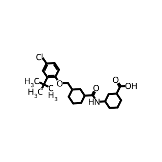 CC(C)(C)c1cc(Cl)ccc1OCC1CCCC(C(=O)NC2CCCC(C(=O)O)C2)C1